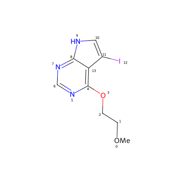 COCCOc1ncnc2[nH]cc(I)c12